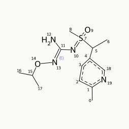 Cc1ccc(C(C)S(C)(=O)=N/C(N)=N/OC(C)C)cn1